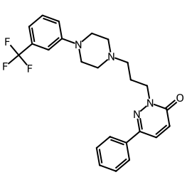 O=c1ccc(-c2ccccc2)nn1CCCN1CCN(c2cccc(C(F)(F)F)c2)CC1